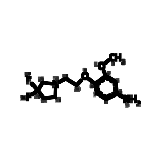 COc1cc(N)ccc1OCCN1CCC(F)(F)C1